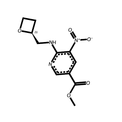 COC(=O)c1cnc(NC[C@@H]2CCO2)c([N+](=O)[O-])c1